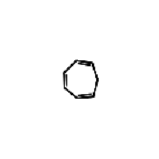 [C]1=CC=CCC=C1